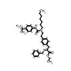 CCCCCCCN(CCc1ccc(CC(SCc2ccccc2)C(=O)OCC)cc1)C(=O)Nc1ccc(C(C)C)cc1